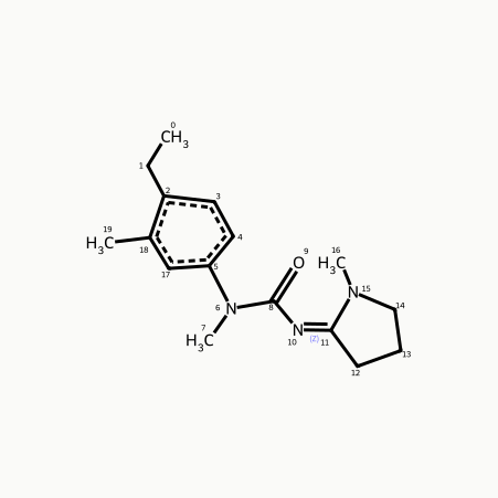 CCc1ccc(N(C)C(=O)/N=C2/CCCN2C)cc1C